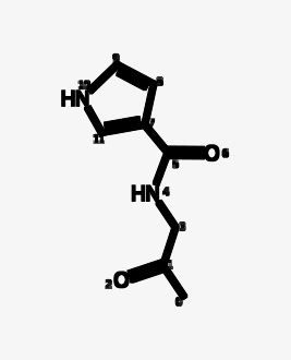 CC(=O)CNC(=O)c1cc[nH]c1